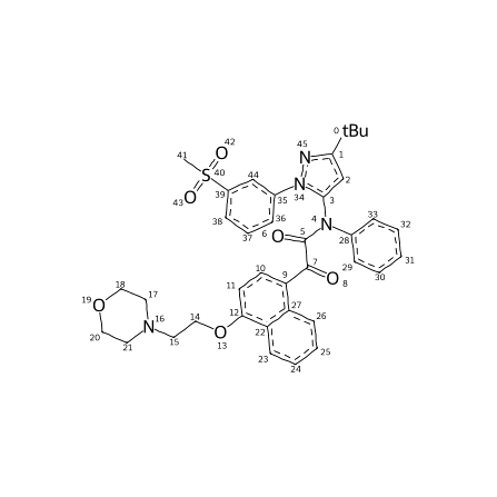 CC(C)(C)c1cc(N(C(=O)C(=O)c2ccc(OCCN3CCOCC3)c3ccccc23)c2ccccc2)n(-c2cccc(S(C)(=O)=O)c2)n1